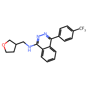 FC(F)(F)c1ccc(-c2nnc(NCC3CCOC3)c3ccccc23)cc1